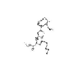 C/C=C(\C=C1\N=C(C(=O)OCC)C=C(CCCC)N1C)c1cccc(C)c1F